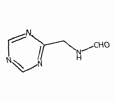 O=CNCc1ncncn1